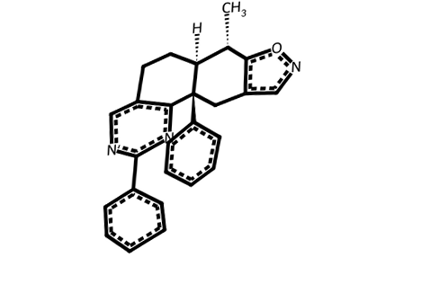 C[C@@H]1c2oncc2C[C@]2(c3ccccc3)c3nc(-c4ccccc4)ncc3CC[C@@H]12